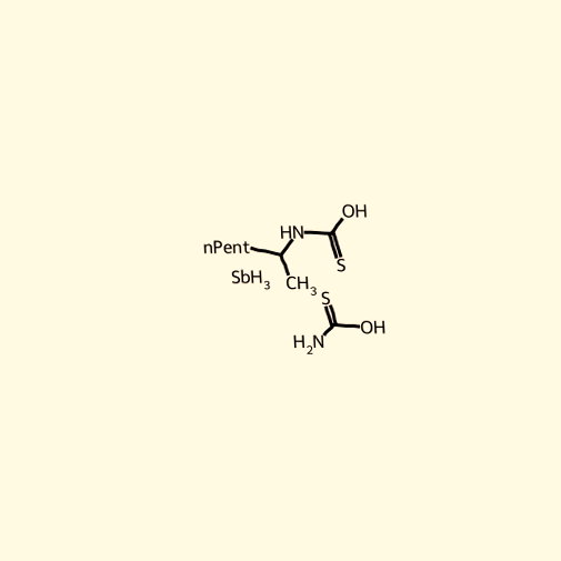 CCCCCC(C)NC(O)=S.NC(O)=S.[SbH3]